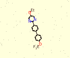 CCOc1cnc(-c2ccc(-c3ccc(OC(F)(F)F)cc3)cc2)nc1